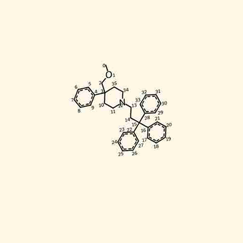 COCC1(c2ccccc2)CCN(CCC(c2ccccc2)(c2ccccc2)c2ccccc2)CC1